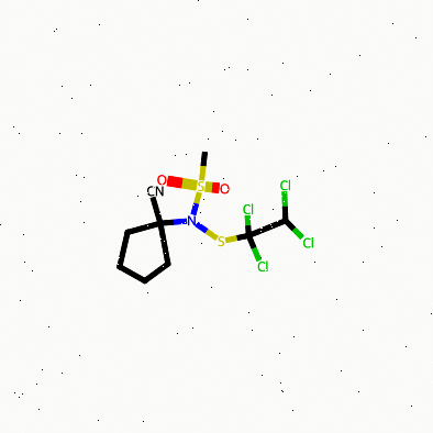 CS(=O)(=O)N(SC(Cl)(Cl)C(Cl)Cl)C1(C#N)CCCC1